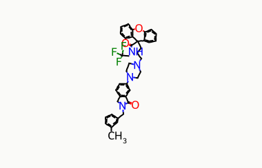 Cc1cccc(CN2Cc3ccc(N4CCN(CCCC5(C(=O)NCC(F)(F)F)c6ccccc6Oc6ccccc65)CC4)cc3C2=O)c1